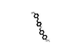 CCCC1C=CC(CCc2ccc(OCC3CCC(C4CCC(C)CC4)CC3)cc2)CC1